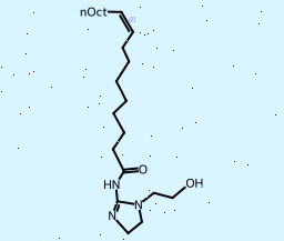 CCCCCCCC/C=C\CCCCCCCC(=O)NC1=NCCN1CCO